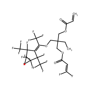 C=CC(=O)OCC(CC)(COC(=O)C=C(F)F)COC(=C(C(F)(C(F)(F)F)C(F)(F)F)C(F)(C(F)(F)F)C(F)(F)F)C(F)(F)F